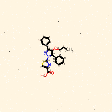 CCCOc1c(-c2ccccc2)nn(-c2nc(C(=O)O)cs2)c1-c1ccccc1